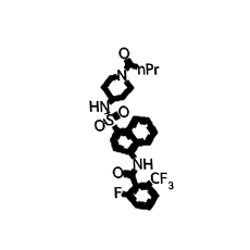 CCCC(=O)N1CCC(NS(=O)(=O)c2ccc(NC(=O)c3c(F)cccc3C(F)(F)F)c3ccccc23)CC1